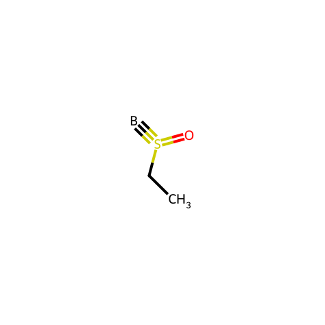 B#S(=O)CC